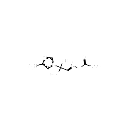 CNC(=O)ON=CC(C)(C)n1cnc([N+](=O)[O-])c1